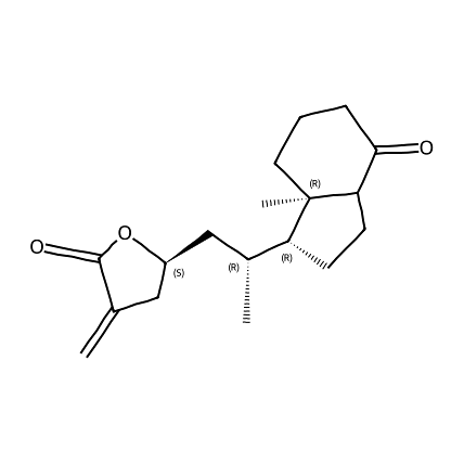 C=C1C[C@H](C[C@@H](C)[C@H]2CCC3C(=O)CCC[C@@]32C)OC1=O